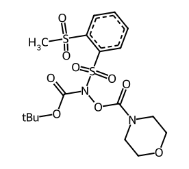 CC(C)(C)OC(=O)N(OC(=O)N1CCOCC1)S(=O)(=O)c1ccccc1S(C)(=O)=O